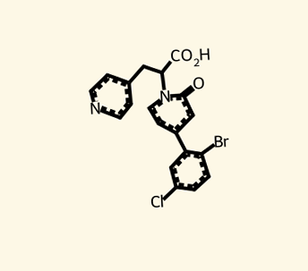 O=C(O)C(Cc1ccncc1)n1ccc(-c2cc(Cl)ccc2Br)cc1=O